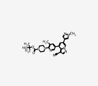 Cc1cc(-c2cc(-c3cnn(C)c3)cn3ncc(C#N)c23)cnc1N1CCN(C(=O)OC(C)(C)O)CC1